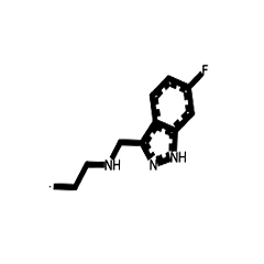 [CH2]CCNCc1n[nH]c2cc(F)ccc12